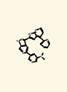 CN(C)c1cncc(-c2cc3c(-c4cc5c(-c6ccccn6)ccnc5[nH]4)n[nH]c3cn2)c1